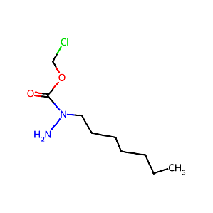 CCCCCCCN(N)C(=O)OCCl